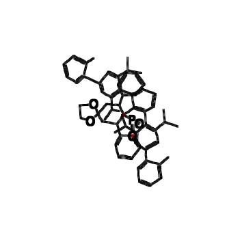 Cc1ccccc1-c1cc(C(C)C)c(-c2cccc(-c3c(C(C)C)cc(-c4ccccc4C)cc3C(C)C)c2C2(P(=O)=O)C(c3ccccc3)CC3(CC2c2ccccc2)OCCO3)c(C(C)C)c1